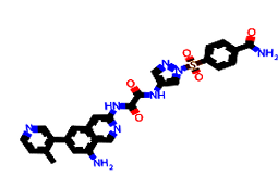 Cc1ccncc1-c1cc(N)c2cnc(NC(=O)C(=O)Nc3cnn(S(=O)(=O)c4ccc(C(N)=O)cc4)c3)cc2c1